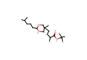 CC(C)CCCC1OCC(C)(CCC(C)C(=O)OC(C)(C)C)CO1